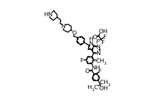 Cc1c(NC(=O)c2ccc(C(C)(C)O)cc2F)cc(F)cc1-c1ncnc2[nH]c(-c3ccc(COC4CCN(CCC5CCNCC5)CC4)cc3)cc12.O=C(O)C(F)(F)F